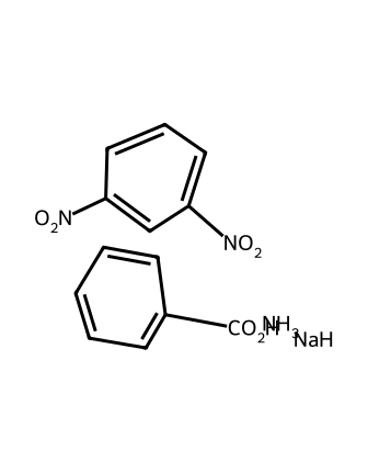 N.O=C(O)c1ccccc1.O=[N+]([O-])c1cccc([N+](=O)[O-])c1.[NaH]